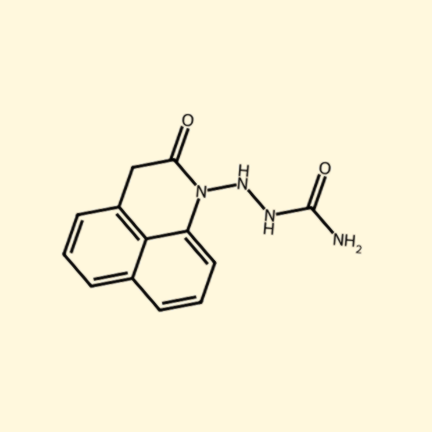 NC(=O)NNN1C(=O)Cc2cccc3cccc1c23